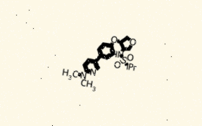 CC(C)S(=O)(=O)NC1COCC1Oc1ccc(-c2ccc(N(C)C)nc2)cc1